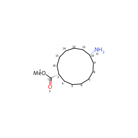 COC(=O)[C@H]1CCCCCC[C@@H](N)CCCCC1